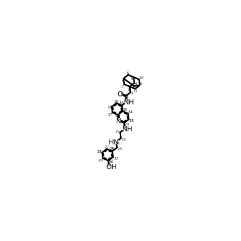 O=C(CC12CC3CC(CC(C3)C1)C2)Nc1cccc2nc(NCCNCc3cccc(O)c3)ccc12